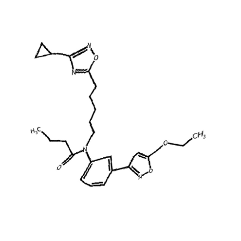 CCCC(=O)N(CCCCCc1nc(C2CC2)no1)c1cccc(-c2cc(OCC)on2)c1